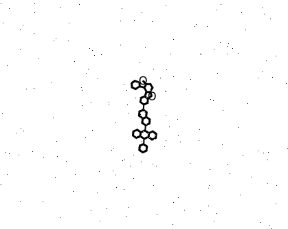 c1ccc(-c2c3ccccc3c(-c3ccc4cc(-c5ccc6c(c5)oc5ccc7oc8ccccc8c7c56)ccc4c3)c3ccccc23)cc1